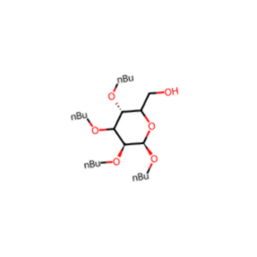 CCCCOC1[C@H](OCCCC)C(CO)O[C@@H](OCCCC)[C@H]1OCCCC